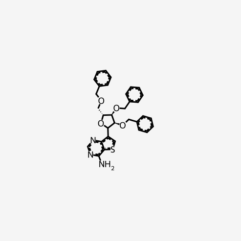 Nc1ncnc2c(C3O[C@H](COCc4ccccc4)[C@@H](OCc4ccccc4)[C@H]3OCc3ccccc3)csc12